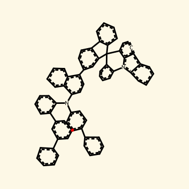 c1ccc(-c2ccc(N(c3ccccc3-c3cccc(-c4ccccc4)c3)c3ccc(-c4ccc5c(c4)C4(c6ccccc6-5)c5ccccc5-n5c6ccccc6c6cccc4c65)c4ccccc34)cc2)cc1